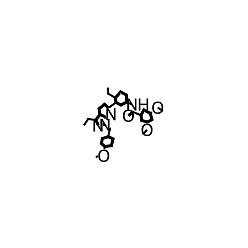 CCc1ccc(NC(=O)c2cc(OC)cc(OC)c2)cc1-c1ccc2c(CC)nn(Cc3ccc(OC)cc3)c2n1